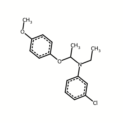 CCN(c1cccc(Cl)c1)C(C)Oc1ccc(OC)cc1